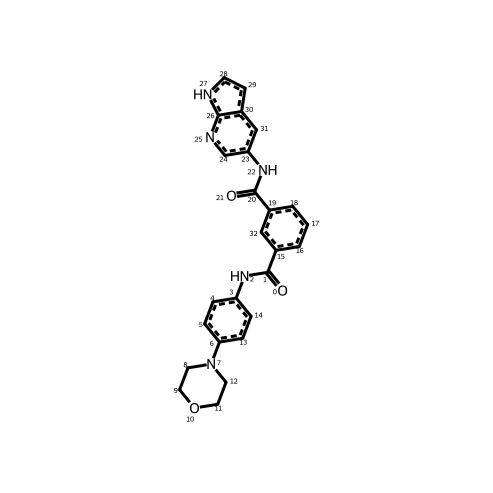 O=C(Nc1ccc(N2CCOCC2)cc1)c1cccc(C(=O)Nc2cnc3[nH]ccc3c2)c1